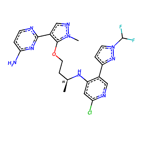 C[C@@H](CCOc1c(-c2nccc(N)n2)cnn1C)Nc1cc(Cl)ncc1-c1ccn(C(F)F)n1